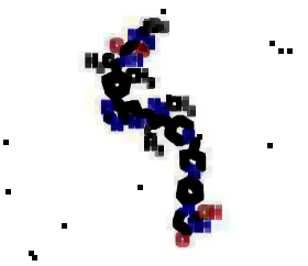 Cc1cc(-c2ncnc3[nH]c(-c4nn(C)c(C5=CCN(CC6CCN(c7ccc(N8CCC(=O)NC8O)cc7)CC6)CC5)c4C)cc23)ccc1[C@@H](C)NC(=O)c1nc(C(C)(C)C)no1